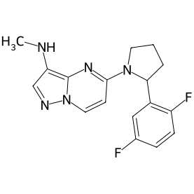 CNc1cnn2ccc(N3CCCC3c3cc(F)ccc3F)nc12